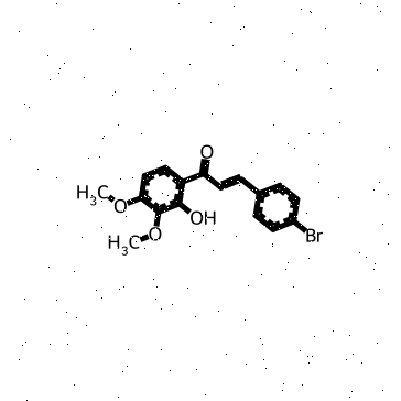 COc1ccc(C(=O)/C=C/c2ccc(Br)cc2)c(O)c1OC